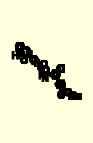 CC(C)(C)OC(=O)N1CCC(c2cc(Cl)cc(-c3nnc(CC(=O)N4CCC(N5CCc6ccccc6NC5=O)CC4)o3)c2)CC1